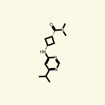 CC(C)c1cc(N[C@H]2C[C@@H](C(=O)N(C)C)C2)ncn1